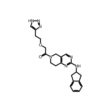 O=C(COCCc1c[nH]nn1)N1CCc2nc(NC3Cc4ccccc4C3)ncc2C1